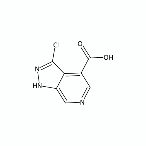 O=C(O)c1cncc2[nH]nc(Cl)c12